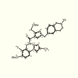 CCN1CCc2cc(Cn3cc(C(=O)NCc4c(-n5cc(C)nn5)ccc(OC)c4F)c(COC)n3)ccc2C1